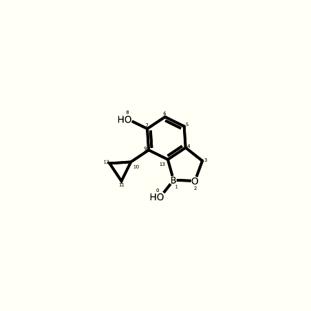 OB1OCc2ccc(O)c(C3CC3)c21